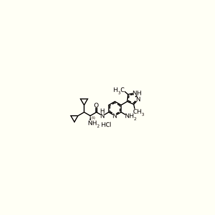 Cc1n[nH]c(C)c1-c1ccc(NC(=O)[C@@H](N)C(C2CC2)C2CC2)nc1N.Cl